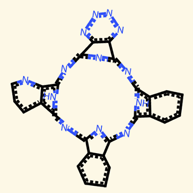 c1ccc2c(c1)-c1nc-2nc2[nH]c(nc3nc(nc4[nH]c(n1)c1ccccc41)-c1nnnnc1-3)c1ncccc21